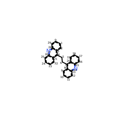 c1ccc2c(CCc3c4ccccc4nc4ccccc34)c3ccccc3nc2c1